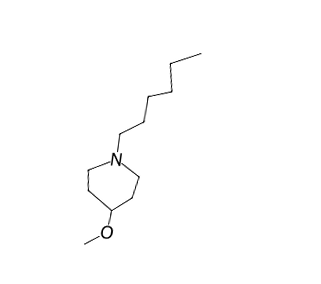 CCCCCCN1CCC(OC)CC1